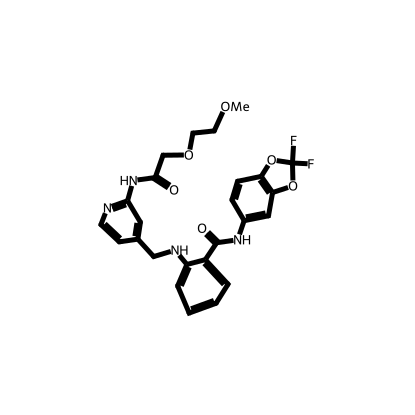 COCCOCC(=O)Nc1cc(CNc2ccccc2C(=O)Nc2ccc3c(c2)OC(F)(F)O3)ccn1